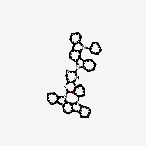 c1ccc(-n2c3ccccc3c3ccc4c(c5ccccc5n4-c4ncc5nc(-n6c7ccccc7c7ccc8c9ccccc9n(-c9ccccc9)c8c76)cnc5n4)c32)cc1